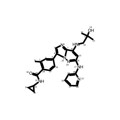 Cc1cc(-c2cnc3c(NCC(C)(C)O)cc(Nc4ccccn4)nn23)ccc1C(=O)NC1CC1